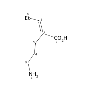 CCC=C(CCCN)C(=O)O